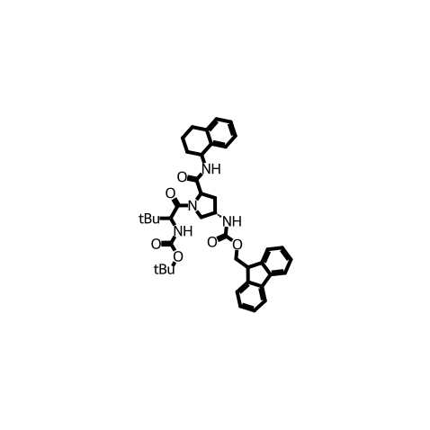 CC(C)(C)OC(=O)NC(C(=O)N1C[C@@H](NC(=O)OCC2c3ccccc3-c3ccccc32)CC1C(=O)NC1CCCc2ccccc21)C(C)(C)C